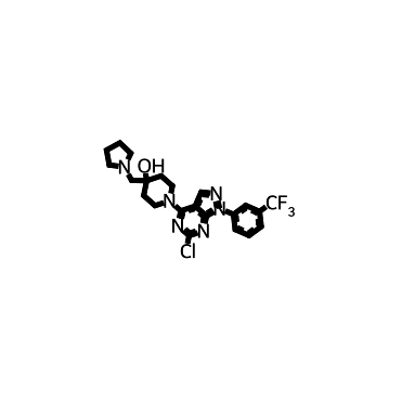 OC1(CN2CCCC2)CCN(c2nc(Cl)nc3c2cnn3-c2cccc(C(F)(F)F)c2)CC1